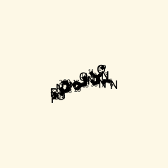 COc1nc(C#N)nc2c1C(C)N(C(=O)CC1CN(c3ccnc(OC(F)F)c3)C1)C2